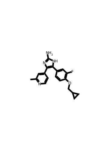 Cc1cc(-c2nc(N)[nH]c2-c2ccc(OCC3CC3)c(F)c2)ccn1